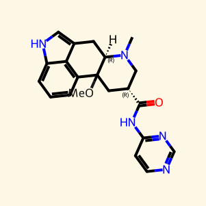 COC12C[C@@H](C(=O)Nc3ccncn3)CN(C)[C@@H]1Cc1c[nH]c3cccc2c13